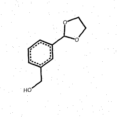 OCc1cccc(C2OCCO2)c1